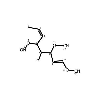 C/C=C\C(ON=O)C(C)C(/C=C/OC#N)OC#N